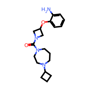 Nc1ccccc1OC1CN(C(=O)N2CCCN(C3CCC3)CC2)C1